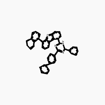 C1=Cc2c(cccc2-c2cccc3c2oc2cccc(C4=NC(c5ccc(-c6ccccc6)cc5)=NC(c5ccccc5)N4)c23)CC1